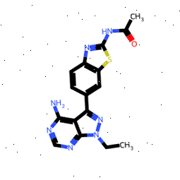 CCn1nc(-c2ccc3nc(NC(C)=O)sc3c2)c2c(N)ncnc21